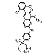 COn1c(=O)c(-c2c(Cl)cccc2Cl)cc2cnc(Nc3ccc(C4(C)CCCNNC4)cc3)nc21